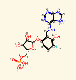 O=P(O)(O)OC[C@H]1OC(Oc2ccc(F)c(O)c2CNc2ncnc3nc[nH]c23)[C@H](O)[C@@H]1O